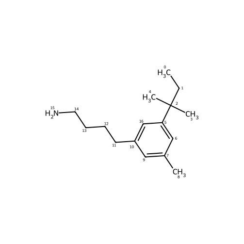 CCC(C)(C)c1cc(C)cc(CCCCN)c1